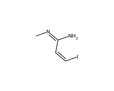 C/N=C(N)\C=C/I